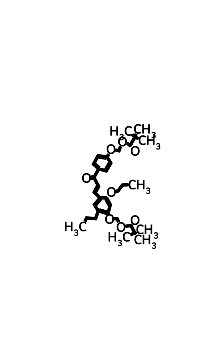 CCCOc1cc(OCOC(=O)C(C)(C)C)c(CCC)cc1/C=C/C(=O)c1ccc(OCOC(=O)C(C)(C)C)cc1